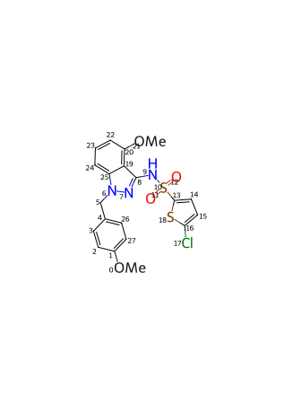 COc1ccc(Cn2nc(NS(=O)(=O)c3ccc(Cl)s3)c3c(OC)cccc32)cc1